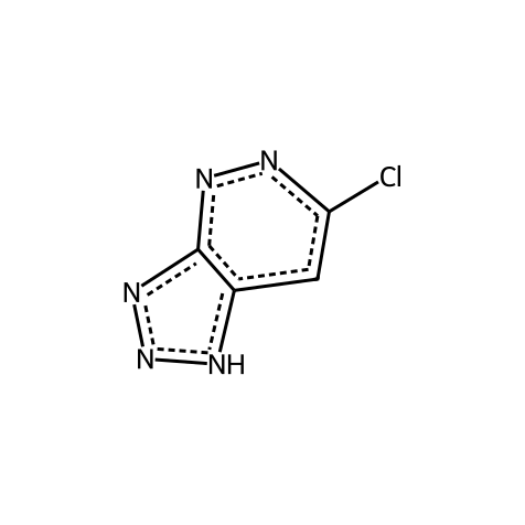 Clc1cc2[nH]nnc2nn1